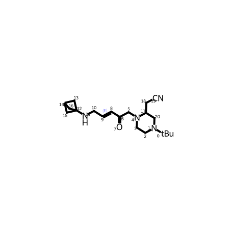 CC(C)(C)N1CCN(CC(=O)/C=C/CNC23CC(C2)C3)C(CC#N)C1